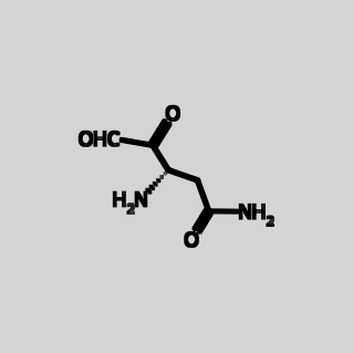 NC(=O)C[C@H](N)C(=O)C=O